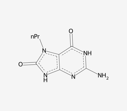 CCCn1c(=O)[nH]c2nc(N)[nH]c(=O)c21